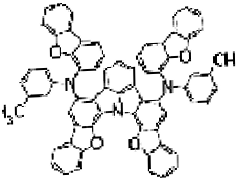 Cc1cccc(N(c2cccc3c2oc2ccccc23)c2cc3c4ccccc4oc3c3c2c2cccc4c5c(N(c6cccc(C)c6)c6cccc7c6oc6ccccc67)cc6c7ccccc7oc6c5n3c24)c1